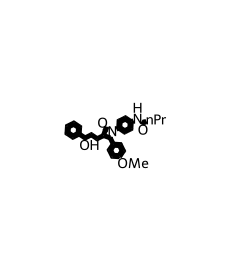 CCCC(=O)Nc1ccc(N2C(=O)C(CC[C@H](O)c3ccccc3)C2c2ccc(OC)cc2)cc1